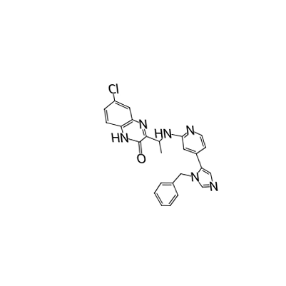 CC(Nc1cc(-c2cncn2Cc2ccccc2)ccn1)c1nc2cc(Cl)ccc2[nH]c1=O